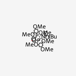 COc1cc(OC)c(P(c2ccccc2)[C@@H]2CN(C(=O)OC(C)(C)C)C[C@H]2P(c2ccccc2)c2c(OC)cc(OC)cc2OC)c(OC)c1